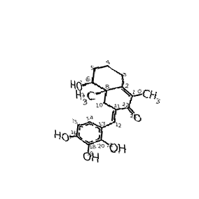 CC1=C2CCC[C@H](O)[C@@]2(C)CC(=Cc2ccc(O)c(O)c2O)C1=O